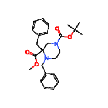 COC(=O)C1(Cc2ccccc2)CN(C(=O)OC(C)(C)C)CCN1Cc1ccccc1